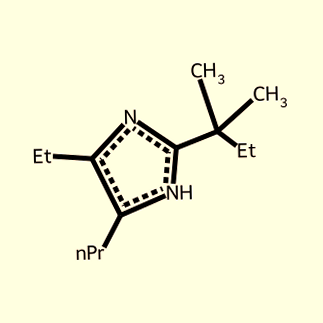 CCCc1[nH]c(C(C)(C)CC)nc1CC